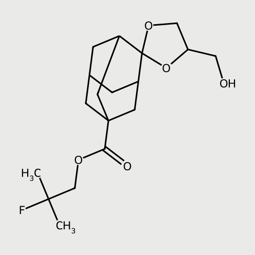 CC(C)(F)COC(=O)C12CC3CC(C1)C1(OCC(CO)O1)C(C3)C2